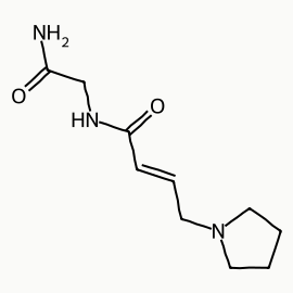 NC(=O)CNC(=O)C=CCN1CCCC1